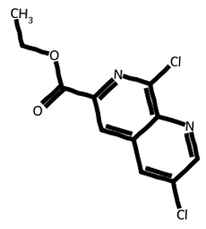 CCOC(=O)c1cc2cc(Cl)cnc2c(Cl)n1